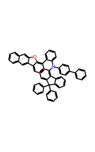 c1ccc(-c2ccc(N(c3ccccc3-c3cccc4c3oc3cc5ccccc5cc34)c3cccc4c3-c3ccccc3C4(c3ccccc3)c3ccccc3)cc2)cc1